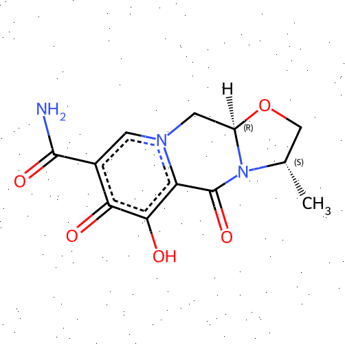 C[C@H]1CO[C@@H]2Cn3cc(C(N)=O)c(=O)c(O)c3C(=O)N12